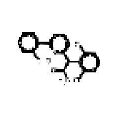 NC(=O)C(c1cccc(-c2ccccc2C=O)n1)c1c(Cl)cccc1Cl